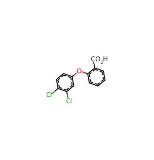 O=C(O)c1ccccc1Oc1ccc(Cl)c(Cl)c1